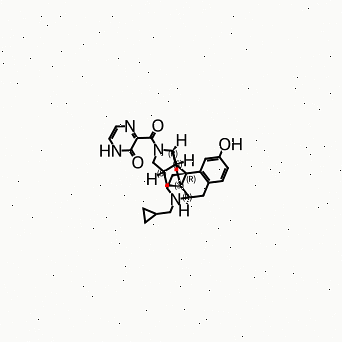 O=C(c1ncc[nH]c1=O)N1C[C@H]2C[C@@]34CC[C@@H]1[C@@H]2[C@@]31CCN(CC2CC2)[C@@H]4Cc2ccc(O)cc21